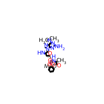 COC(=O)[C@H](C)N[P@](=O)(OC[C@@H]1CC(=N)[C@H](n2cnc3c(N(C)C)nc(N)nc32)O1)Oc1ccccc1